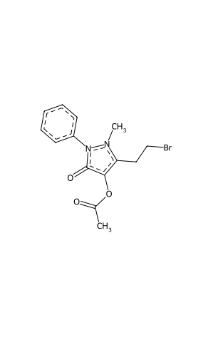 CC(=O)Oc1c(CCBr)n(C)n(-c2ccccc2)c1=O